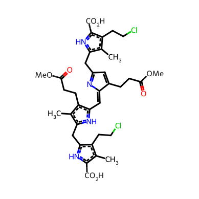 COC(=O)CCC1=CC(Cc2[nH]c(C(=O)O)c(CCCl)c2C)=N/C1=C\c1[nH]c(Cc2[nH]c(C(=O)O)c(C)c2CCCl)c(C)c1CCC(=O)OC